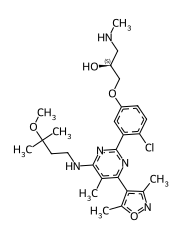 CNC[C@H](O)COc1ccc(Cl)c(-c2nc(NCCC(C)(C)OC)c(C)c(-c3c(C)noc3C)n2)c1